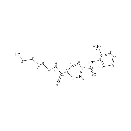 Nc1ccccc1NC(=O)c1ccc(C(=O)NCCOCCO)cn1